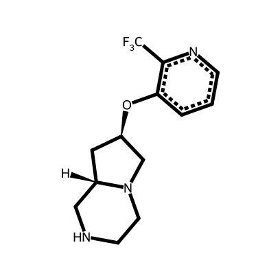 FC(F)(F)c1ncccc1O[C@@H]1C[C@H]2CNCCN2C1